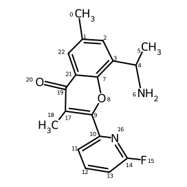 Cc1cc(C(C)N)c2oc(-c3cccc(F)n3)c(C)c(=O)c2c1